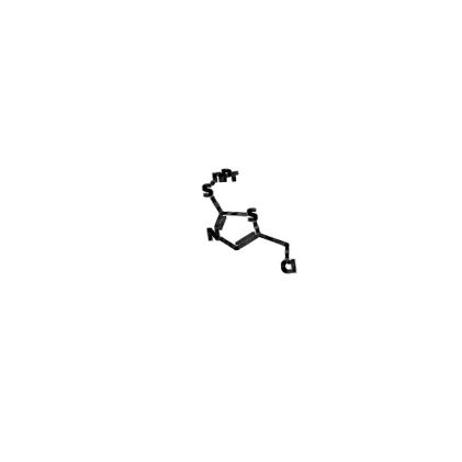 CCCSc1ncc(CCl)s1